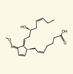 CC/C=C\C[C@H](O)C/C=C1/C(=N\OC)C=C[C@@H]1C/C=C\CCCC(=O)O